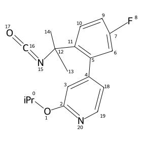 CC(C)Oc1cc(-c2cc(F)ccc2C(C)(C)N=C=O)ccn1